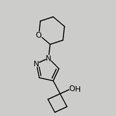 OC1(c2cnn(C3CCCCO3)c2)CCC1